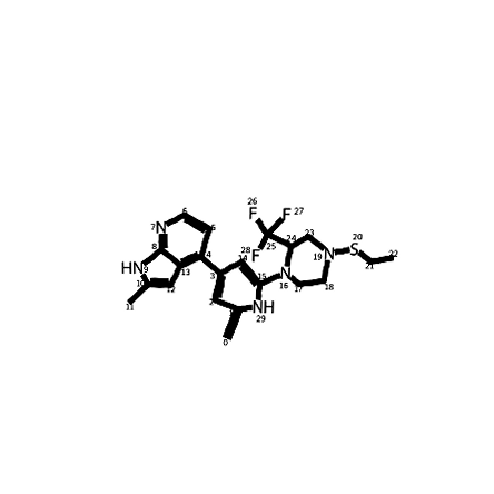 C=C1C=C(c2ccnc3[nH]c(C)cc23)C=C(N2CCN(SCC)CC2C(F)(F)F)N1